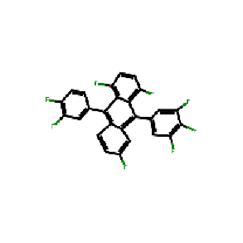 Fc1ccc2c(-c3ccc(F)c(F)c3)c3c(F)ccc(F)c3c(-c3cc(F)c(F)c(F)c3)c2c1